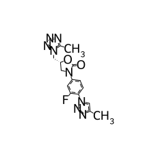 Cc1cn(-c2ccc(N3C[C@H](Cn4nnnc4C)OC3=O)cc2F)nn1